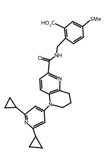 CSc1ccc(CNC(=O)c2ccc3c(n2)CCCN3c2cc(C3CC3)nc(C3CC3)c2)c(C(=O)O)c1